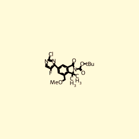 COCc1cc(-c2nc(Cl)ncc2F)cc2c1C(C)(C)N(C(=O)OC(C)(C)C)C2=O